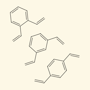 C=Cc1ccc(C=C)cc1.C=Cc1cccc(C=C)c1.C=Cc1ccccc1C=C